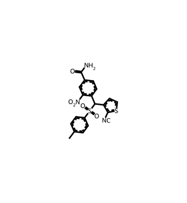 Cc1ccc(S(=O)(=O)C(c2ccc(C(N)=O)cc2[N+](=O)[O-])c2ccsc2C#N)cc1